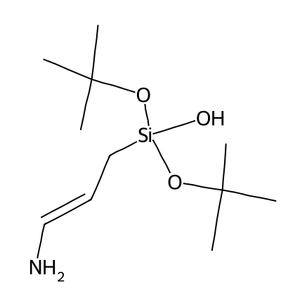 CC(C)(C)O[Si](O)(CC=CN)OC(C)(C)C